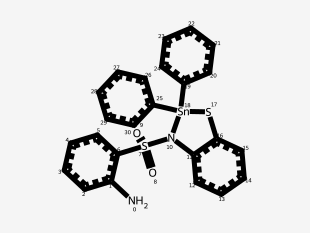 Nc1ccccc1S(=O)(=O)[N]1c2ccccc2[S][Sn]1([c]1ccccc1)[c]1ccccc1